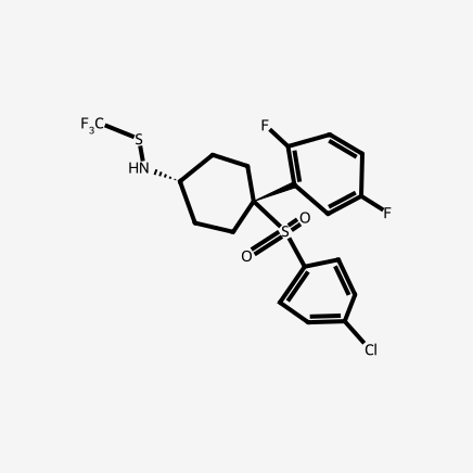 O=S(=O)(c1ccc(Cl)cc1)[C@]1(c2cc(F)ccc2F)CC[C@H](NSC(F)(F)F)CC1